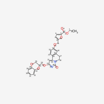 CCOC(=O)c1ccc(COc2ccc3c(c2)CCn2c-3cc(OCC3COc4ccccc4O3)nc2=O)o1